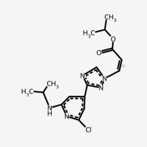 CC(C)Nc1cc(-c2ncn(/C=C\C(=O)OC(C)C)n2)cc(Cl)n1